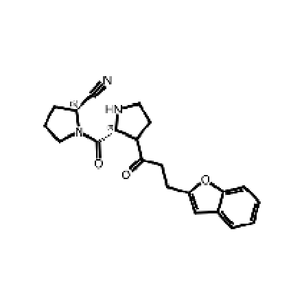 N#C[C@@H]1CCCN1C(=O)[C@@H]1NCCC1C(=O)CCc1cc2ccccc2o1